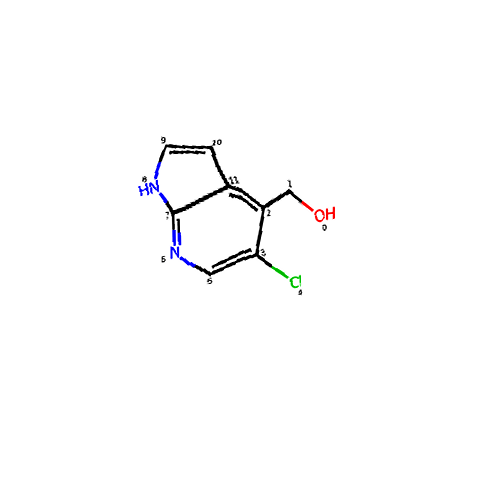 OCc1c(Cl)cnc2[nH]ccc12